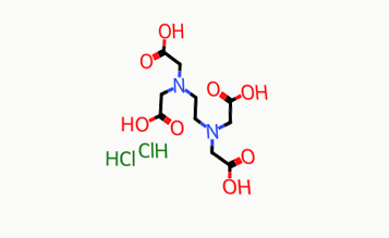 Cl.Cl.O=C(O)CN(CCN(CC(=O)O)CC(=O)O)CC(=O)O